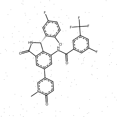 Cn1cc(-c2cc(NC(=O)c3cc(F)cc(C(F)(F)F)c3)c3c(c2)C(=O)N[C@@H]3c2cc(F)ccc2Cl)ccc1=O